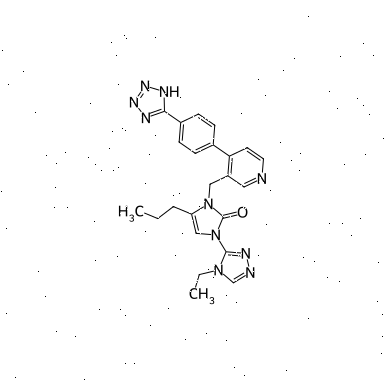 CCCc1cn(-c2nncn2CC)c(=O)n1Cc1cnccc1-c1ccc(-c2nnn[nH]2)cc1